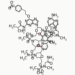 Cc1cn(C2CN(P(=O)(OCC3CN(P(=O)(OCC4CN(C)CC(n5cnc6c(N)ncnc65)O4)N(C)C)CC(n4cnc5c(OCCc6ccc([N+](=O)[O-])cc6)nc(NC(=O)C(C)C)nc54)O3)N(C)C)CC(COP(=O)(N(C)C)N3CC(COP(=O)(N(C)C)N(C)CC(N)=O)OC(n4ccc(N)nc4=O)C3)O2)c(=O)[nH]c1=O